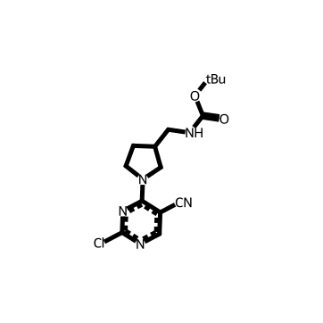 CC(C)(C)OC(=O)NCC1CCN(c2nc(Cl)ncc2C#N)C1